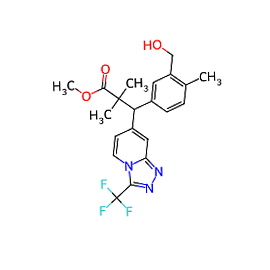 COC(=O)C(C)(C)C(c1ccc(C)c(CO)c1)c1ccn2c(C(F)(F)F)nnc2c1